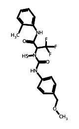 COCc1ccc(NC(=O)N(S)C(C(=O)Nc2ccccc2C)C(F)(F)F)cc1